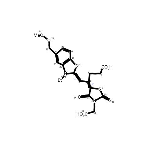 CCN1/C(=C/C(CCC(=O)O)=C2/SC(=S)N(CC(=O)O)C2=O)Sc2ccc(COOC)cc21